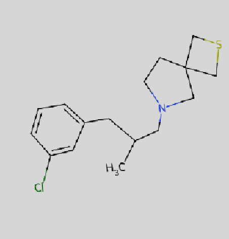 CC(Cc1cccc(Cl)c1)CN1CCC2(CSC2)C1